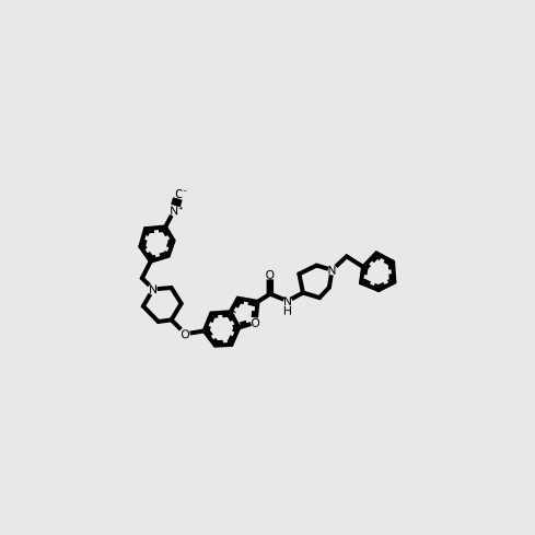 [C-]#[N+]c1ccc(CN2CCC(Oc3ccc4oc(C(=O)NC5CCN(Cc6ccccc6)CC5)cc4c3)CC2)cc1